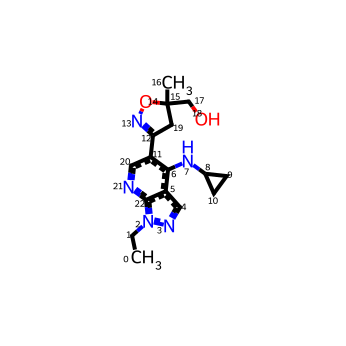 CCn1ncc2c(NC3CC3)c(C3=NOC(C)(CO)C3)cnc21